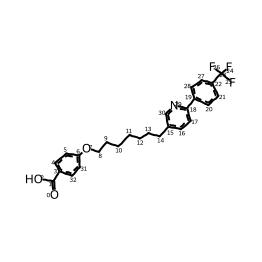 O=C(O)c1ccc(OCCCCCCCc2ccc(-c3ccc(C(F)(F)F)cc3)nc2)cc1